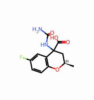 C[C@@H]1CC(NC(N)=O)(C(=O)O)c2cc(F)ccc2O1